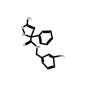 CC1=CC(C(=O)NCc2cccc(N)c2)(c2ccccc2)NO1